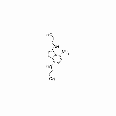 Nc1ccc(NCCO)c2ccn(NCCO)c12